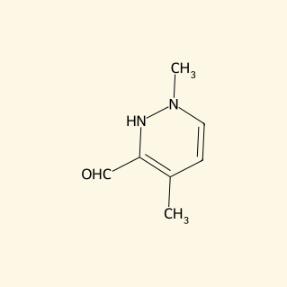 CC1=C(C=O)NN(C)C=C1